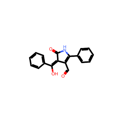 O=CC1=C(c2ccccc2)NC(=O)/C1=C(/O)c1ccccc1